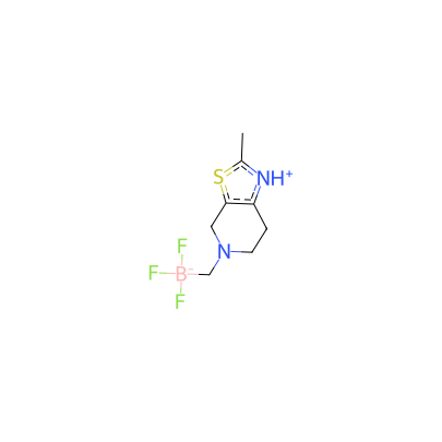 Cc1[nH+]c2c(s1)CN(C[B-](F)(F)F)CC2